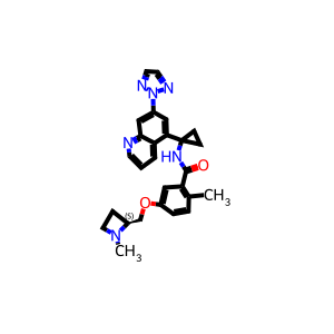 Cc1ccc(OC[C@@H]2CCN2C)cc1C(=O)NC1(c2cc(-n3nccn3)cc3ncccc23)CC1